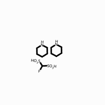 C1CCNCC1.C1CCNCC1.O=S(=O)(O)C(F)S(=O)(=O)O